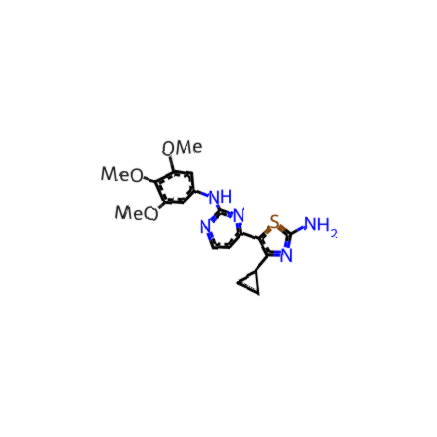 COc1cc(Nc2nccc(-c3sc(N)nc3C3CC3)n2)cc(OC)c1OC